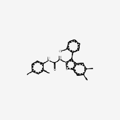 Cc1ccc(NC(=O)Nc2sc3cc(C)c(C)cc3c2-c2ccccc2Cl)c(C)c1